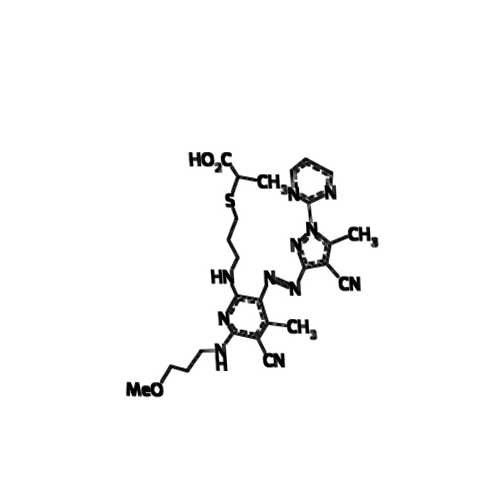 COCCCNc1nc(NCCCSC(C)C(=O)O)c(N=Nc2nn(-c3ncccn3)c(C)c2C#N)c(C)c1C#N